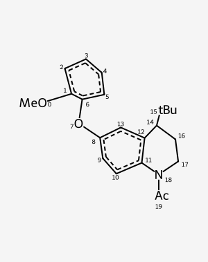 COc1ccccc1Oc1ccc2c(c1)C(C(C)(C)C)CCN2C(C)=O